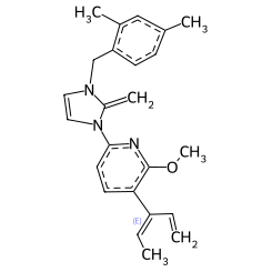 C=C/C(=C\C)c1ccc(N2C=CN(Cc3ccc(C)cc3C)C2=C)nc1OC